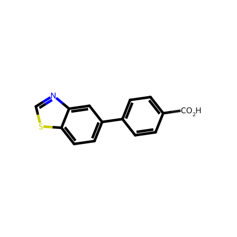 O=C(O)c1ccc(-c2ccc3scnc3c2)cc1